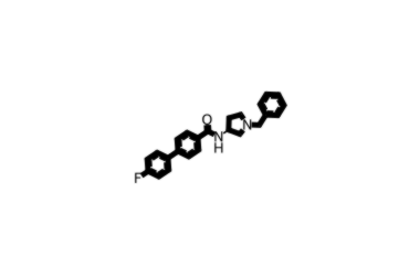 O=C(N[C@@H]1CCN(Cc2ccccc2)C1)c1ccc(-c2ccc(F)cc2)cc1